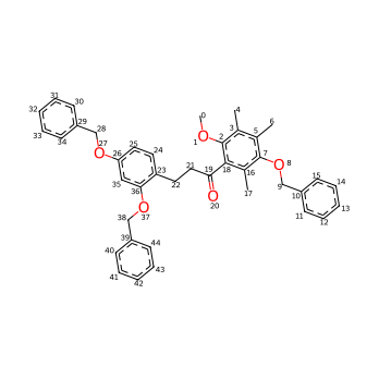 COc1c(C)c(C)c(OCc2ccccc2)c(C)c1C(=O)CCc1ccc(OCc2ccccc2)cc1OCc1ccccc1